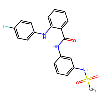 CS(=O)(=O)Nc1cccc(NC(=O)c2ccccc2Nc2ccc(F)cc2)c1